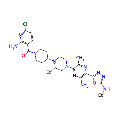 CCNc1nnc(-c2nc(C)c(N3CCN(C4CCN(C(=O)c5ccc(Cl)nc5N)CC4)[C@@H](CC)C3)nc2N)o1